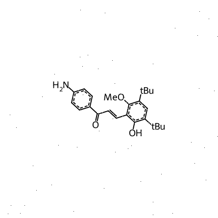 COc1c(C(C)(C)C)cc(C(C)(C)C)c(O)c1C=CC(=O)c1ccc(N)cc1